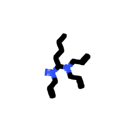 C=CCNC(CCCC)N(CC=C)CC=C